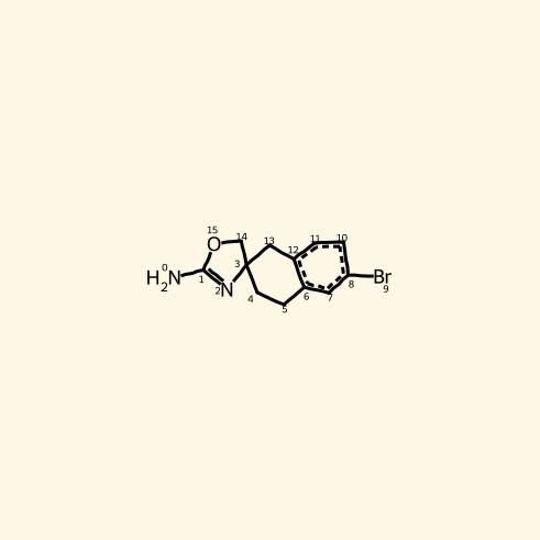 NC1=NC2(CCc3cc(Br)ccc3C2)CO1